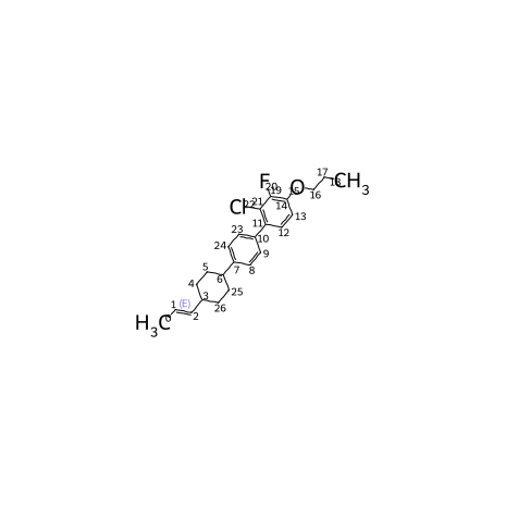 C/C=C/C1CCC(c2ccc(-c3ccc(OCCC)c(F)c3Cl)cc2)CC1